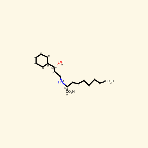 O=C(O)CCCCCC[C@H](NCC[C@@H](O)C1CCCCC1)C(=O)O